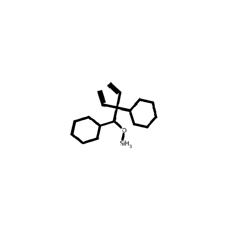 C=CC(C=C)(C1CCCCC1)C(O[SiH3])C1CCCCC1